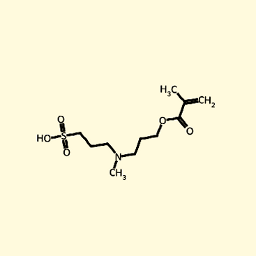 C=C(C)C(=O)OCCCN(C)CCCS(=O)(=O)O